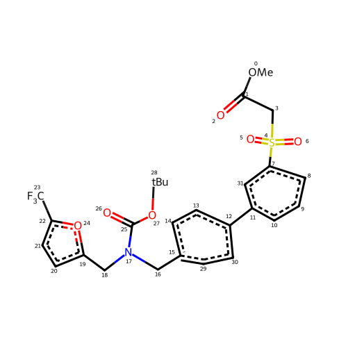 COC(=O)CS(=O)(=O)c1cccc(-c2ccc(CN(Cc3ccc(C(F)(F)F)o3)C(=O)OC(C)(C)C)cc2)c1